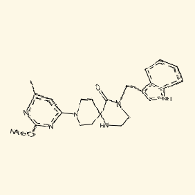 COc1nc(C)cc(N2CCC3(CC2)NCCN(Cc2c[nH]c4ccccc24)C3=O)n1